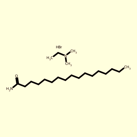 Br.CCCCCCCCCCCCCCCCC(N)=O.CCN(C)C